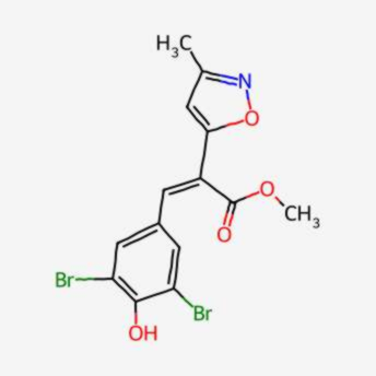 COC(=O)C(=Cc1cc(Br)c(O)c(Br)c1)c1cc(C)no1